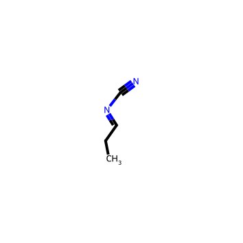 CCC=NC#N